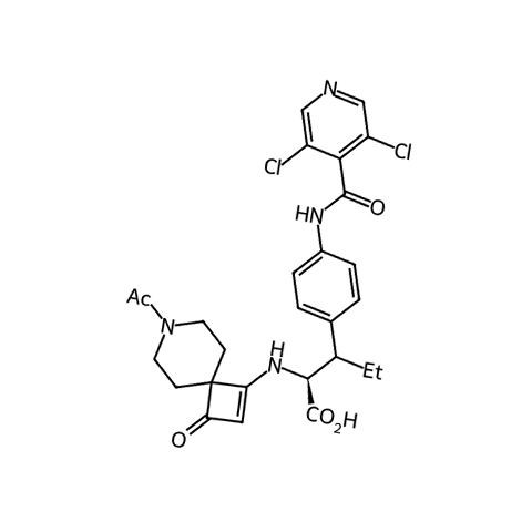 CCC(c1ccc(NC(=O)c2c(Cl)cncc2Cl)cc1)[C@H](NC1=CC(=O)C12CCN(C(C)=O)CC2)C(=O)O